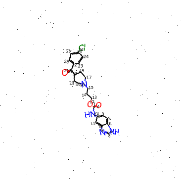 O=C(Nc1ccc2[nH]cnc2c1)OCCCN1CCC(C(=O)c2ccc(Cl)cc2)CC1